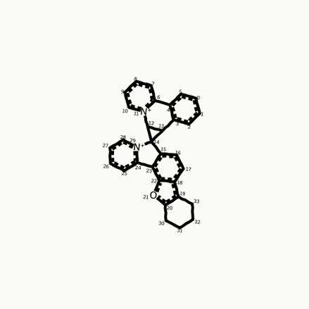 c1ccc2c(c1)-c1cccc[n+]1C1C2C12c1ccc3c4c(oc3c1-c1cccc[n+]12)CCCC4